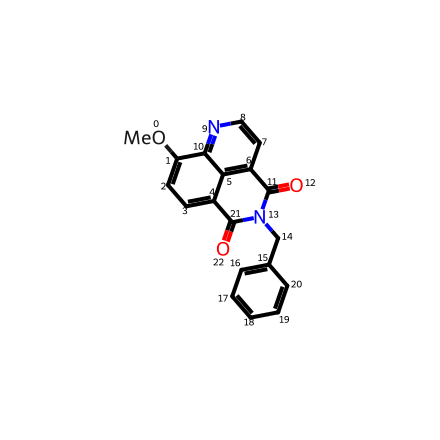 COc1ccc2c3c(ccnc13)C(=O)N(Cc1ccccc1)C2=O